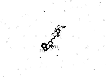 COc1ccc(NC(=O)CC[C@@H]2CC3c4cccc5[nH]cc(c45)C[C@H]3N(C)C2)nn1